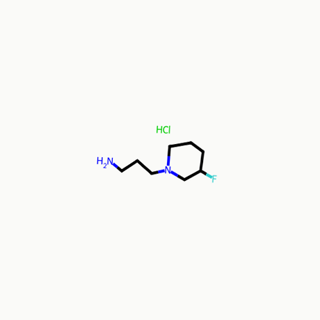 Cl.NCCCN1CCCC(F)C1